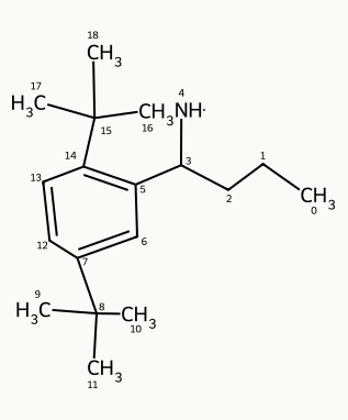 CCCC([NH])c1cc(C(C)(C)C)ccc1C(C)(C)C